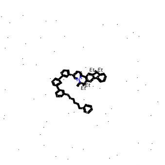 C=C1[n+]2cc(-c3cccc(-c4cccc(-c5cccc(CCCCCCc6ccccc6)c5)c4)c3)ccc2-c2cc3c(cc2C1(CC)CC)-c1ccccc1C3(CC)CC